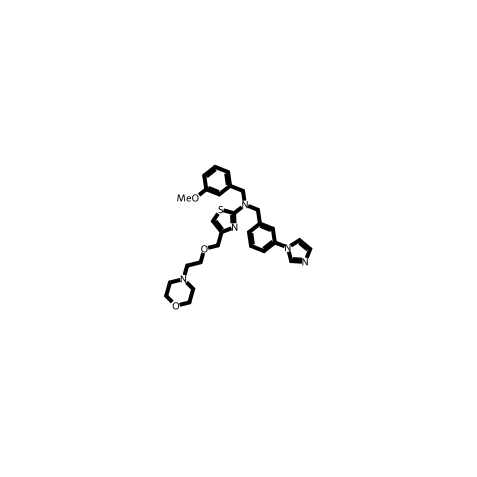 COc1cccc(CN(Cc2cccc(-n3ccnc3)c2)c2nc(COCCN3CCOCC3)cs2)c1